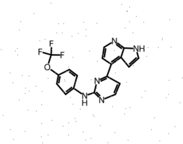 FC(F)(F)Oc1ccc(Nc2nccc(-c3ccnc4[nH]ccc34)n2)cc1